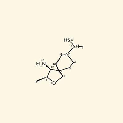 C[C@@H]1OCC2(CCN([SH](C)S)CC2)[C@@H]1N